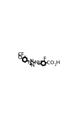 O=C(O)c1ccc(CNc2ncn(-c3ccc(OC(F)(F)F)cc3)n2)cc1F